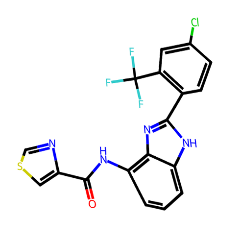 O=C(Nc1cccc2[nH]c(-c3ccc(Cl)cc3C(F)(F)F)nc12)c1cscn1